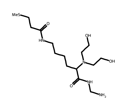 CSCCC(=O)NCCCCC(C(=O)NCN)N(CCO)CCO